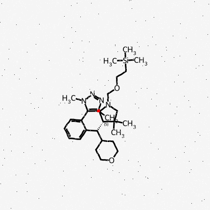 Cc1nnn(C)c1-c1ccccc1C(C1CCOCC1)[C@@H]1CN(COCC[Si](C)(C)C)CC1(C)C